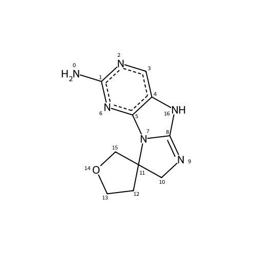 Nc1ncc2c(n1)N1C(=NCC13CCOC3)N2